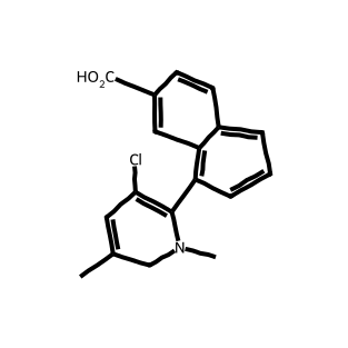 CC1=CC(Cl)=C(c2cccc3ccc(C(=O)O)cc23)N(C)C1